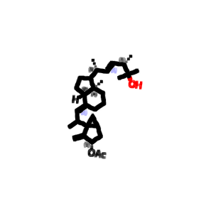 C=C1[C@@H](OC(C)=O)CC2CC12C(C)/C=C1\CCC[C@]2(C)C([C@H](C)/C=C/[C@H](C)C(C)(C)O)CC[C@@H]12